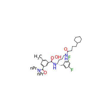 CCCN(CCC)C(=O)c1cc(C)cc(C(=O)N[C@@H](Cc2cc(F)cc(F)c2)[C@H](O)CCNC(=O)CCCC2CCCCC2)c1